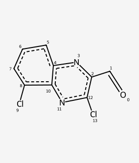 O=Cc1nc2cccc(Cl)c2nc1Cl